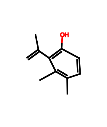 C=C(C)c1c(O)ccc(C)c1C